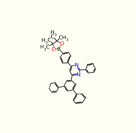 CC1(C)OB(c2ccc(-c3cc(-c4cc(C5=CCCC=C5)cc(-c5ccccc5)c4)nc(-c4ccccc4)n3)cc2)OC1(C)C